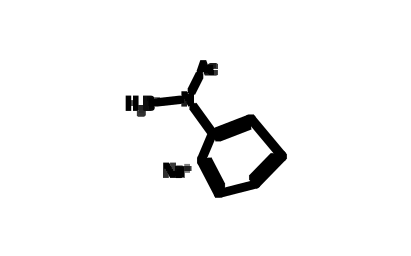 [BH3-]N(C(C)=O)c1ccccc1.[Na+]